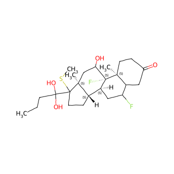 CCCC(O)(O)C1(SC)CC[C@H]2[C@@H]3CC(F)C4CC(=O)CC[C@]4(C)[C@]3(F)C(O)C[C@@]21C